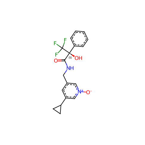 O=C(NCc1cc(C2CC2)c[n+]([O-])c1)[C@@](O)(c1ccccc1)C(F)(F)F